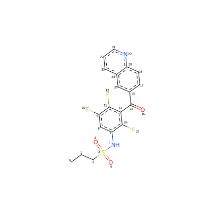 CCCS(=O)(=O)Nc1cc(F)c(F)c(C(=O)c2ccc3ncccc3c2)c1F